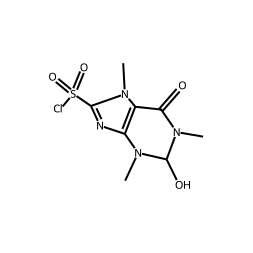 CN1C(=O)c2c(nc(S(=O)(=O)Cl)n2C)N(C)C1O